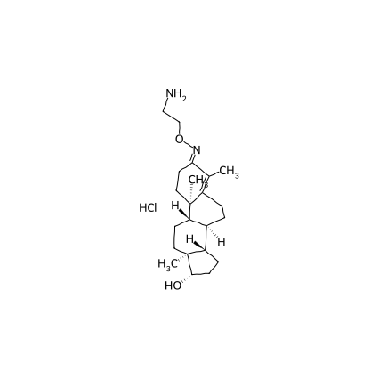 CC1=C2CC[C@H]3[C@@H]4CC[C@H](O)[C@@]4(C)CC[C@@H]3[C@@]2(C)CC/C1=N\OCCN.Cl